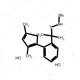 CC1=CC(C)=C(c2ccccc2[C](C)(C)[Ti][NH]C(C)(C)C)C1.Cl.Cl